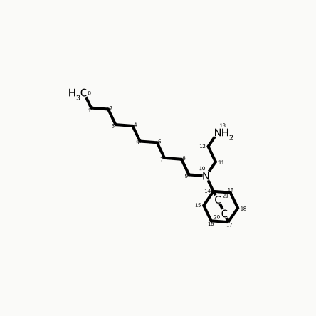 CCCCCCCCCCN(CCN)C12CCC(CC1)CC2